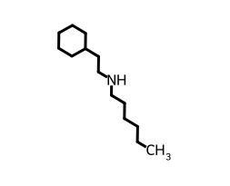 CCCCCCNCCC1CCCCC1